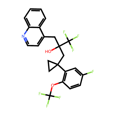 OC(Cc1ccnc2ccccc12)(CC1(c2cc(F)ccc2OC(F)(F)F)CC1)C(F)(F)F